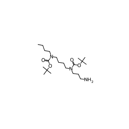 CCCCN(CCCCN(CCCN)C(=O)OC(C)(C)C)C(=O)OC(C)(C)C